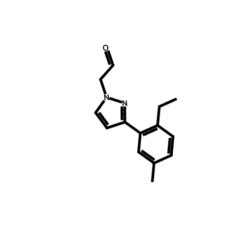 CCc1ccc(C)cc1-c1ccn(CC=O)n1